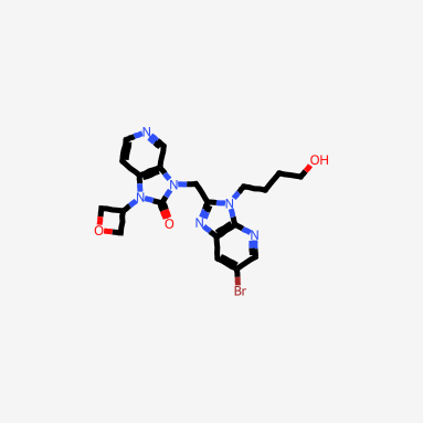 O=c1n(Cc2nc3cc(Br)cnc3n2CCCCO)c2cnccc2n1C1COC1